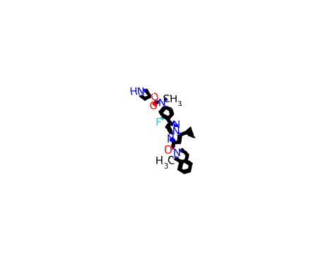 C[C@@H]1c2ccccc2CCN1C(=O)c1cc(C2CC2)n2nc(-c3ccc(N(C)C(=O)OC4CCNC4)cc3F)cc2n1